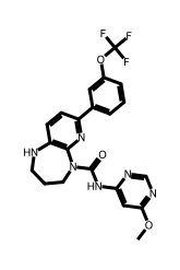 COc1cc(NC(=O)N2CCCNc3ccc(-c4cccc(OC(F)(F)F)c4)nc32)ncn1